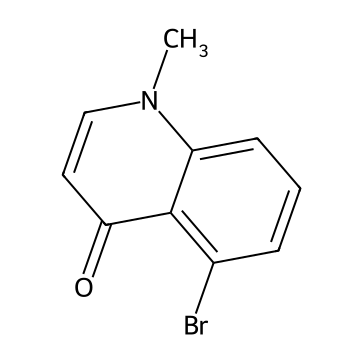 Cn1ccc(=O)c2c(Br)cccc21